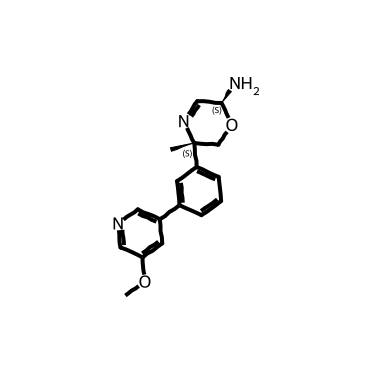 COc1cncc(-c2cccc([C@@]3(C)CO[C@H](N)C=N3)c2)c1